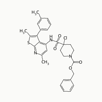 Cc1cccc(-c2c(C)sc3nc(C)cc(NS(=O)(=O)C4(Cl)CCN(C(=O)OCc5ccccc5)CC4)c23)c1